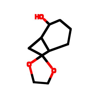 OC1CCCC2C1CC21OCCO1